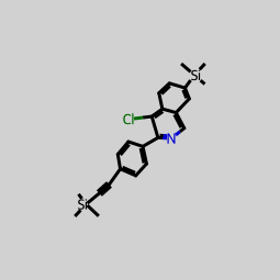 C[Si](C)(C)C#Cc1ccc(-c2ncc3cc([Si](C)(C)C)ccc3c2Cl)cc1